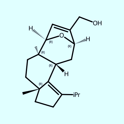 CC(C)C1=C2[C@H]3C[C@H]4O[C@H](C=C4CO)[C@]3(C)CC[C@@]2(C)CC1